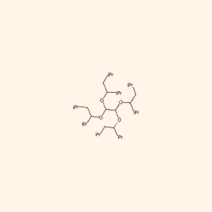 CC(C)CC(OC(OC(CC(C)C)C(C)C)C(OC(CC(C)C)C(C)C)OC(CC(C)C)C(C)C)C(C)C